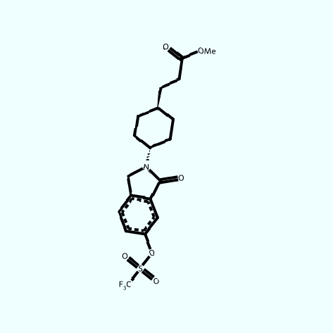 COC(=O)CC[C@H]1CC[C@H](N2Cc3ccc(OS(=O)(=O)C(F)(F)F)cc3C2=O)CC1